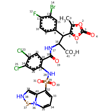 Cc1oc(=O)oc1C(c1ccc(F)c(Br)c1)C(NC(=O)c1cc(Cl)c(Cl)cc1NS(=O)(=O)C1=CC=CN2SNC=C12)C(=O)O